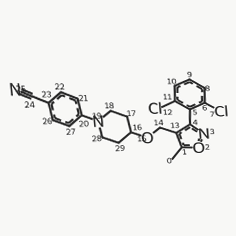 Cc1onc(-c2c(Cl)cccc2Cl)c1COC1CCN(c2ccc(C#N)cc2)CC1